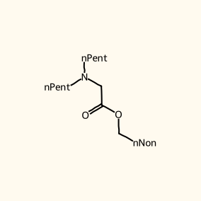 CCCCCCCCCCOC(=O)CN(CCCCC)CCCCC